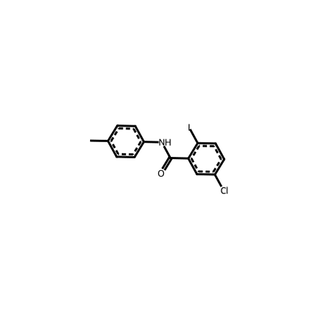 Cc1ccc(NC(=O)c2cc(Cl)ccc2I)cc1